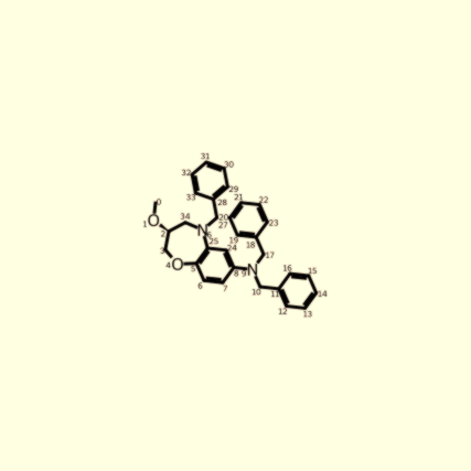 CO[C@@H]1COc2ccc(N(Cc3ccccc3)Cc3ccccc3)cc2N(Cc2ccccc2)C1